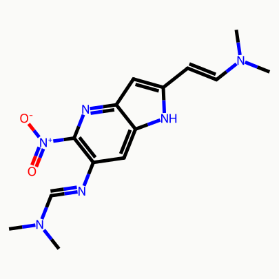 CN(C)C=Cc1cc2nc([N+](=O)[O-])c(N=CN(C)C)cc2[nH]1